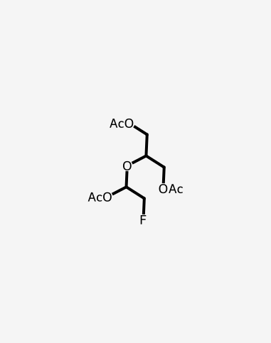 CC(=O)OCC(COC(C)=O)OC(CF)OC(C)=O